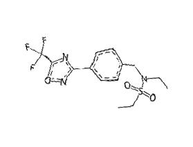 CCN(Cc1ccc(-c2noc(C(F)(F)F)n2)cc1)S(=O)(=O)CC